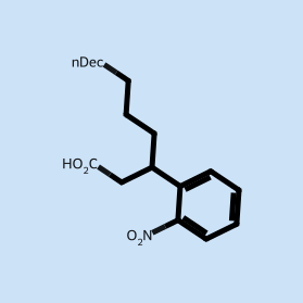 CCCCCCCCCCCCCC(CC(=O)O)c1ccccc1[N+](=O)[O-]